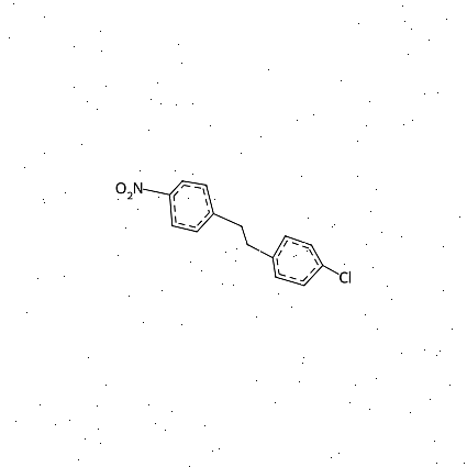 O=[N+]([O-])c1ccc(CCc2ccc(Cl)cc2)cc1